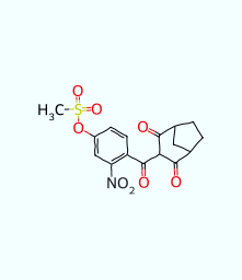 CS(=O)(=O)Oc1ccc(C(=O)C2C(=O)C3CCC(C3)C2=O)c([N+](=O)[O-])c1